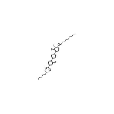 CCCCCCCCCOc1ccc(-c2ccc(-c3ccc(C4OCC(CCCCC)CO4)cc3F)cc2)c(F)c1F